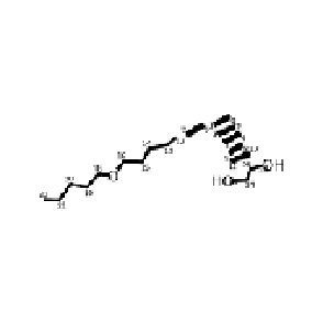 C=C.C=C.C=C.C=C.C=C.C=C.CCCCCOCCCCC.OCCO